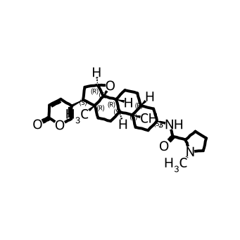 CN1CCCC1C(=O)N[C@H]1CC[C@@]2(C)[C@H](CC[C@@H]3[C@@H]2CC[C@]2(C)[C@@H](c4ccc(=O)oc4)C[C@H]4O[C@]342)C1